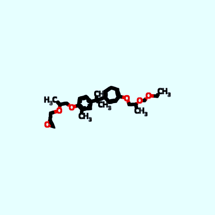 CCOCOC(C)COC1=CCC=C(C(C)(C)c2ccc(OCC(C)OCC3CO3)c(C)c2)C=C1